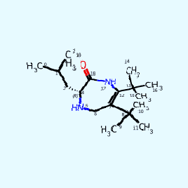 CC(C)C[C@H]1NCC(C(C)(C)C)=C(C(C)(C)C)NC1=O